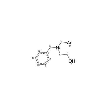 CC(=O)CN(CCO)Cc1ccccc1